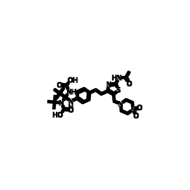 CC(=O)Nc1nc(CCc2ccc(NC(NC(=O)O)(N(C(=O)O)C(C)(C)C)C(C)(C)C)cc2)c(CN2CCS(=O)(=O)CC2)s1